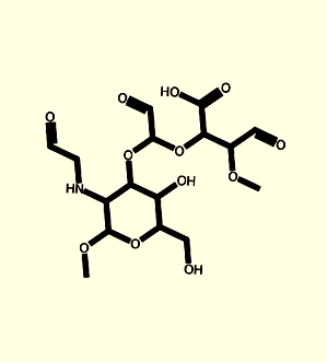 COC(C=O)C(OC(C=O)OC1C(O)C(CO)OC(OC)C1NCC=O)C(=O)O